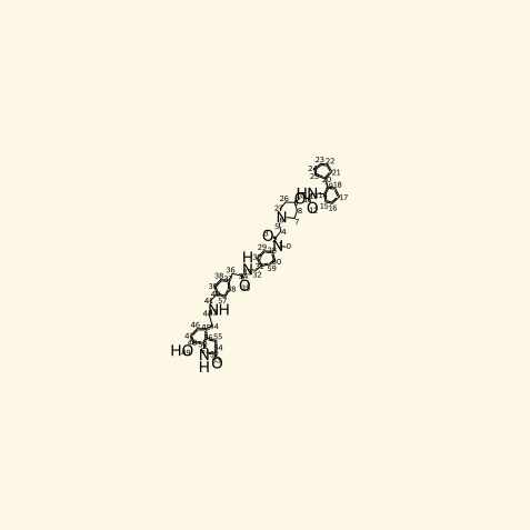 CN(C(=O)CCN1CCC(OC(=O)Nc2ccccc2-c2ccccc2)CC1)c1ccc(CNC(=O)Cc2ccc(CNCCc3ccc(O)c4[nH]c(=O)ccc34)cc2)cc1